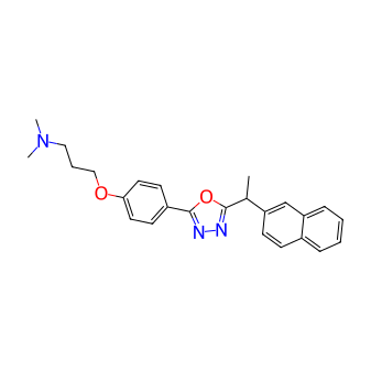 CC(c1ccc2ccccc2c1)c1nnc(-c2ccc(OCCCN(C)C)cc2)o1